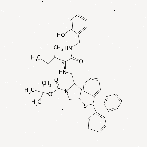 CCC(C)[C@H](NCC1CC(SC(c2ccccc2)(c2ccccc2)c2ccccc2)CN1C(=O)OC(C)(C)C)C(=O)NCc1ccccc1O